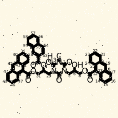 Cn1c(=O)n(CC(O)COC(=O)c2c3ccccc3cc3ccccc23)c(=O)n(CC(COC(=O)c2c3ccccc3cc3ccccc23)OC(=O)c2ccc3ccccc3c2)c1=O